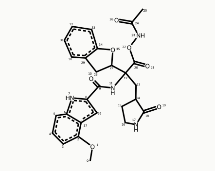 COc1cccc2[nH]c(C(=O)NC(CC3CCNC3=O)(C(=O)ONC(C)=O)C3Cc4ccccc4O3)cc12